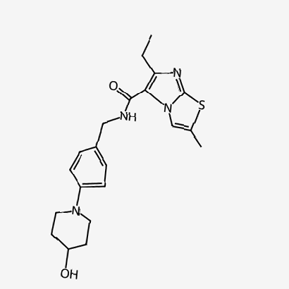 CCc1nc2sc(C)cn2c1C(=O)NCc1ccc(N2CCC(O)CC2)cc1